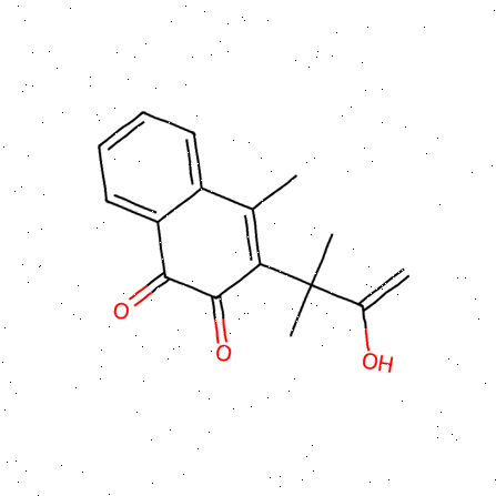 C=C(O)C(C)(C)C1=C(C)c2ccccc2C(=O)C1=O